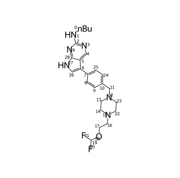 CCCCNc1ncc2c(-c3ccc(CN4CCN(CCOC(F)F)CC4)cc3)c[nH]c2n1